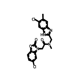 Cc1cc2nc(CN(C)C(=O)Cn3c(=O)oc4ccc(Cl)cc43)[nH]c2cc1Cl